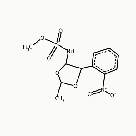 COS(=O)(=O)NC1OC(C)OC1c1ccccc1[N+](=O)[O-]